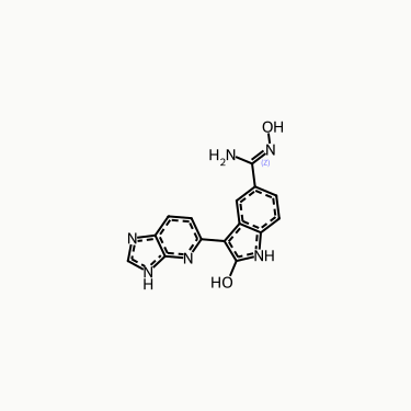 N/C(=N\O)c1ccc2[nH]c(O)c(-c3ccc4nc[nH]c4n3)c2c1